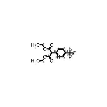 CCOC(=O)C(C(=O)OCC)c1ccc(C(F)(F)F)cn1